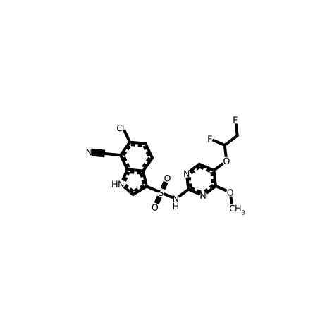 COc1nc(NS(=O)(=O)c2c[nH]c3c(C#N)c(Cl)ccc23)ncc1OC(F)CF